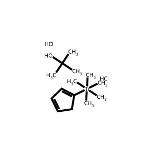 CC(C)(C)O.Cl.Cl.[CH3][Ti]([CH3])([CH3])([CH3])([CH3])[C]1=CC=CC1